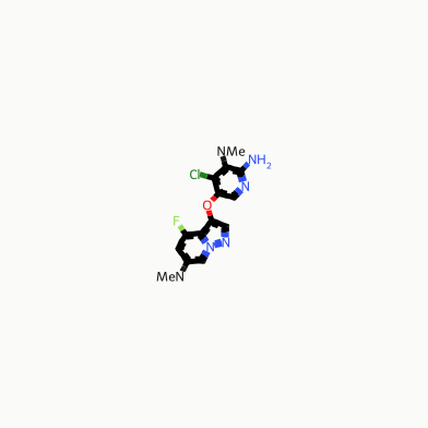 CNc1cc(F)c2c(Oc3cnc(N)c(NC)c3Cl)cnn2c1